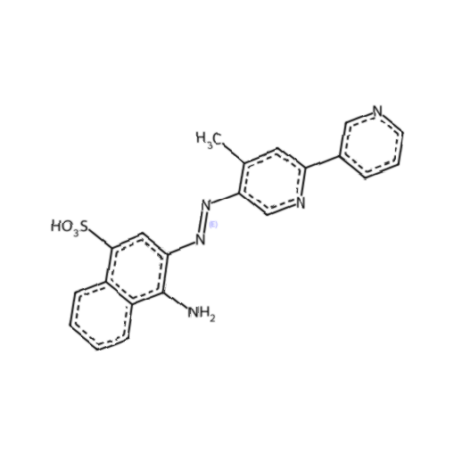 Cc1cc(-c2cccnc2)ncc1/N=N/c1cc(S(=O)(=O)O)c2ccccc2c1N